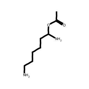 CC(=O)OC(N)CCCCCN